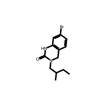 CCC(C)CN1Cc2ccc(Br)cc2NC1=O